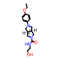 CCOc1ccc(N2C[C@H]3CN(C(=O)NCCO)C[C@H]3C2)cc1